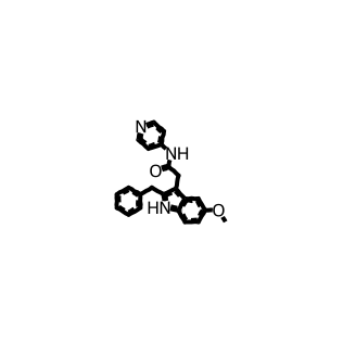 COc1ccc2[nH]c(Cc3ccccc3)c(CC(=O)Nc3ccncc3)c2c1